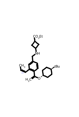 C=C(O[C@H]1CC[C@H](C(C)(C)C)CC1)c1ccc(CNC2CC(C(=O)OCC)C2)cc1/C=C\C